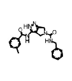 Cc1cccc(C(=O)Nc2[nH]nc3c2CN(C(=O)NCc2ccccc2)C3)c1